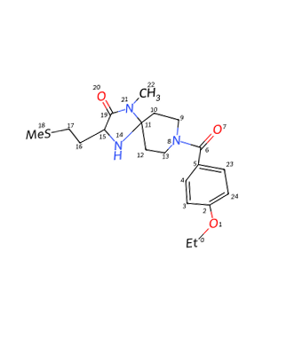 CCOc1ccc(C(=O)N2CCC3(CC2)NC(CCSC)C(=O)N3C)cc1